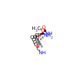 C.C.C.C.C.C.COC(N)=O.N=C=O.N=C=O